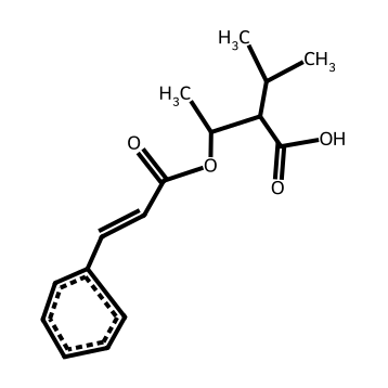 CC(C)C(C(=O)O)C(C)OC(=O)/C=C/c1ccccc1